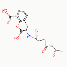 CC(=O)CC(=O)CCC(=O)NC1Cc2cccc(C(=O)O)c2OB1O